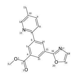 COC(=O)c1cc(-c2ccc(C)cn2)cc(-c2ncco2)c1